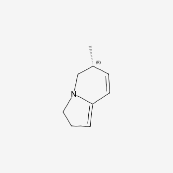 C[C@@H]1C=CC2=CCCN2C1